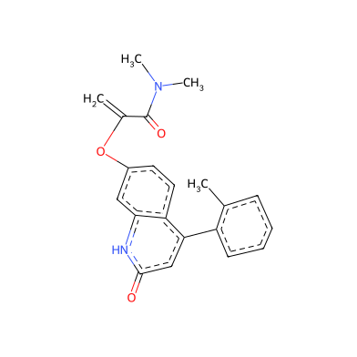 C=C(Oc1ccc2c(-c3ccccc3C)cc(=O)[nH]c2c1)C(=O)N(C)C